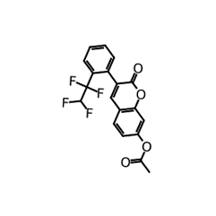 CC(=O)Oc1ccc2cc(-c3ccccc3C(F)(F)C(F)F)c(=O)oc2c1